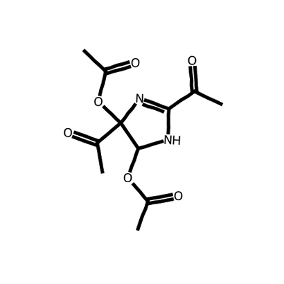 CC(=O)OC1NC(C(C)=O)=NC1(OC(C)=O)C(C)=O